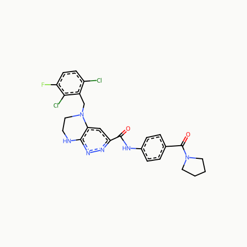 O=C(Nc1ccc(C(=O)N2CCCC2)cc1)c1cc2c(nn1)NCCN2Cc1c(Cl)ccc(F)c1Cl